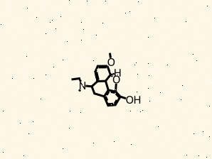 CCN(C)C1Cc2ccc(O)c3c2C2C1=CC=C(OC)[C@@H]2O3